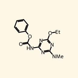 CCOc1nc(NC)nc(NC(=O)Oc2ccccc2)n1